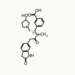 CN(C(=O)Cc1ccc2c(c1)NC(=O)C2)[C@H](CN1CCC(O)C1)c1cccc(C(=O)O)c1